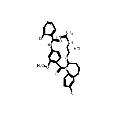 COc1cc(NC(=O)c2ccccc2Cl)ccc1C(=O)N1c2ccc(Cl)cc2CCCC1OCCNC(C)=N.Cl